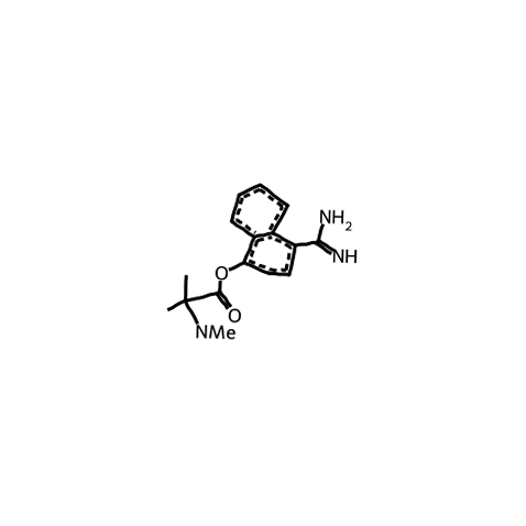 CNC(C)(C)C(=O)Oc1ccc(C(=N)N)c2ccccc12